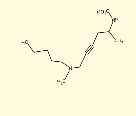 CC(CC#CCN(C)CCCCO)NC(=O)O